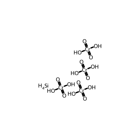 [O]=[Cr](=[O])([OH])[OH].[O]=[Cr](=[O])([OH])[OH].[O]=[Cr](=[O])([OH])[OH].[O]=[Cr](=[O])([OH])[OH].[SiH4]